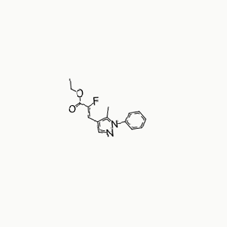 CCOC(=O)C(F)=Cc1cnn(-c2ccccc2)c1C